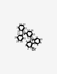 Brc1cccc2c1c1ccccc1n2-c1cccc(N(c2ccccc2)c2ccccc2)c1